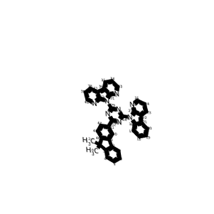 CC1(C)c2ccccc2-c2cc(-c3nc(-n4c5ccccc5c5cccnc54)nc(-n4c5ncccc5c5cccnc54)n3)ccc21